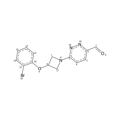 O=Cc1ccc(N2CC(Oc3ccccc3Br)C2)nn1